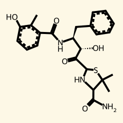 Cc1c(O)cccc1C(=O)N[C@@H](Cc1ccccc1)[C@H](O)C(=O)C1NC(C(N)=O)C(C)(C)S1